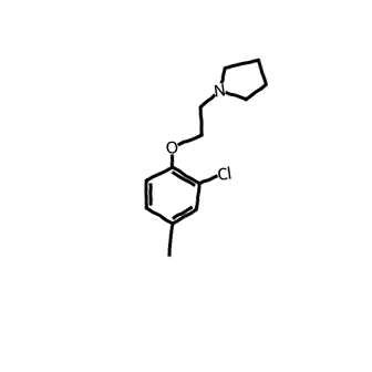 Cc1ccc(OCCN2CCCC2)c(Cl)c1